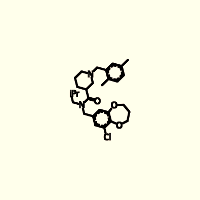 Cc1ccc(C)c(CN2CCCC(C(=O)N(Cc3cc(Cl)c4c(c3)OCCCO4)CC(C)C)C2)c1